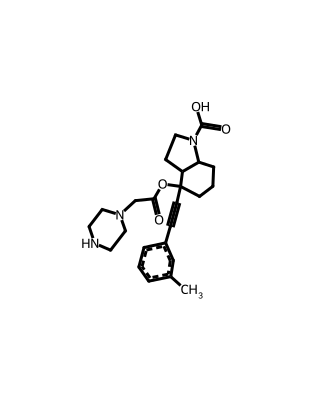 Cc1cccc(C#CC2(OC(=O)CN3CCNCC3)CCCC3C2CCN3C(=O)O)c1